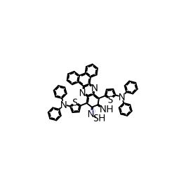 N=C1C(c2ccc(N(c3ccccc3)c3ccccc3)s2)=c2nc3c4ccccc4c4ccccc4c3nc2=C(c2ccc(N(c3ccccc3)c3ccccc3)s2)/C1=N/S